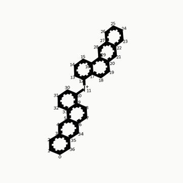 c1ccc2cc3c(ccc4c([I+]c5cccc6c5ccc5cc7ccccc7cc56)cccc43)cc2c1